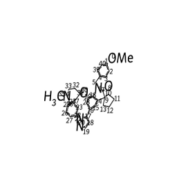 COc1ccc(CN2C(=O)C3(CCCC3)c3cc(-c4ccnn4-c4ccccc4)cc(OC4CCN(C)CC4)c32)cc1